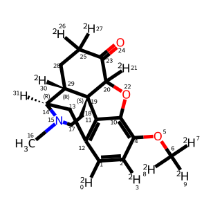 [2H]c1c([2H])c(OC([2H])([2H])[2H])c2c3c1C[C@H]1N(C)CC[C@@]34C([2H])(O2)C(=O)C([2H])([2H])C[C@@]14[2H]